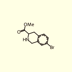 COC(=O)C1Cc2ccc(Br)cc2CN1